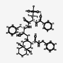 CC(C)([C@H](NC(=O)c1ccccc1)C(=O)N[C@@H](Cc1ccccc1)[C@H](O)CN1C[C@H]2CCCC[C@H]2C[C@H]1C(=O)NCc1ccccc1)S(C)(=O)=O